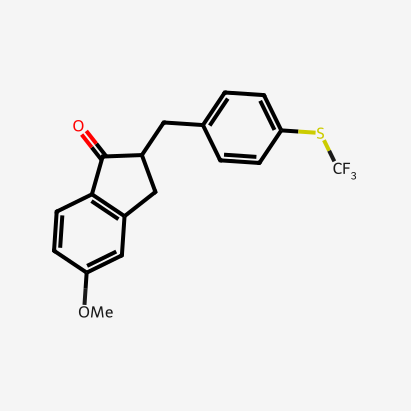 COc1ccc2c(c1)CC(Cc1ccc(SC(F)(F)F)cc1)C2=O